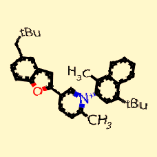 Cc1c(-[n+]2cc(-c3cc4cc(CC(C)(C)C)ccc4o3)ccc2C)cc(C(C)(C)C)c2ccccc12